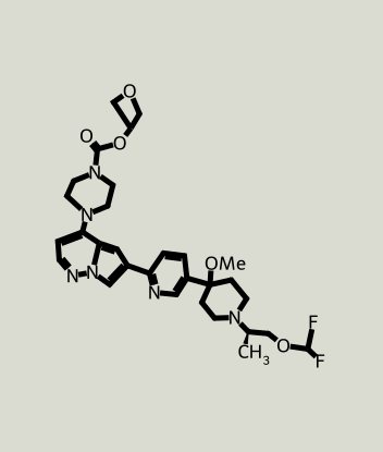 COC1(c2ccc(-c3cc4c(N5CCN(C(=O)OC6COC6)CC5)ccnn4c3)nc2)CCN([C@H](C)COC(F)F)CC1